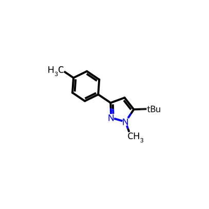 Cc1ccc(-c2cc(C(C)(C)C)n(C)n2)cc1